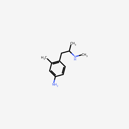 CNC(C)Cc1ccc(N)cc1C